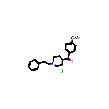 COc1ccc(C(=O)C2CCN(CCc3ccccc3)CC2)cc1.Cl